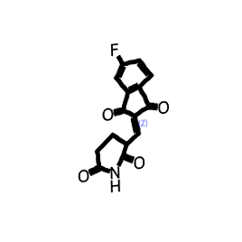 O=C1CCC(/C=C2/C(=O)c3ccc(F)cc3C2=O)C(=O)N1